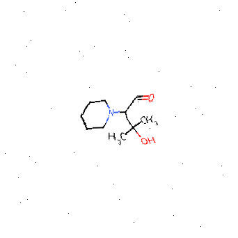 CC(C)(O)C(C=O)N1CCCCC1